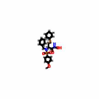 COc1ccc(S(=O)(=O)N(Cc2ccccc2)C(CSc2ccccc2)C(=O)NO)cc1